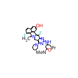 C=Cc1c(F)ccc2cc(O)cc(-c3ncc4c(N5CCCCC5)nc(N[C@H](CC(=O)NC)CC(C)C)nc4c3F)c12